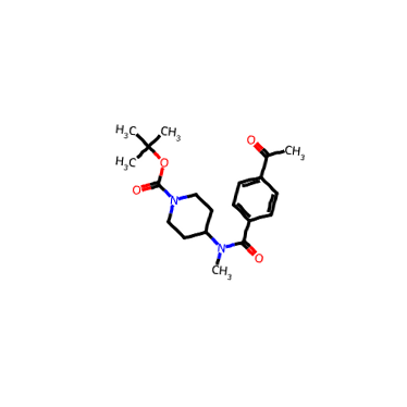 CC(=O)c1ccc(C(=O)N(C)C2CCN(C(=O)OC(C)(C)C)CC2)cc1